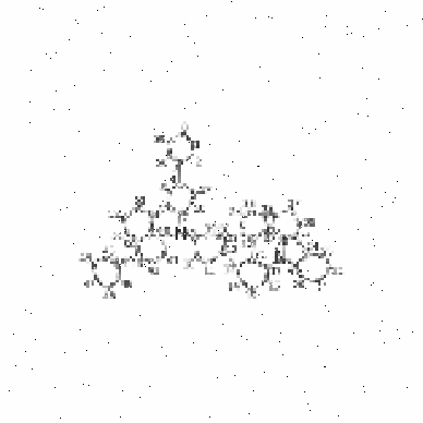 c1ccc(-c2ccc(N(c3ccc(-c4cccc(-n5c6ccccc6c6ccccc65)c4-c4ccccc4)cc3)c3ccc(-c4ccccc4)c4ccccc34)cc2)cc1